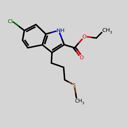 CCOC(=O)c1[nH]c2cc(Cl)ccc2c1CCCSC